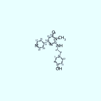 Cn1c(NCCc2ccc(O)cc2)nc(-c2ccncc2)cc1=O